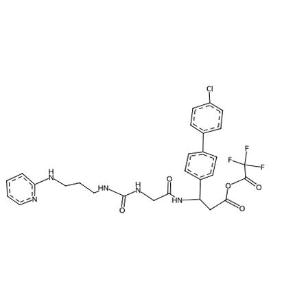 O=C(CNC(=O)NCCCNc1ccccn1)NC(CC(=O)OC(=O)C(F)(F)F)c1ccc(-c2ccc(Cl)cc2)cc1